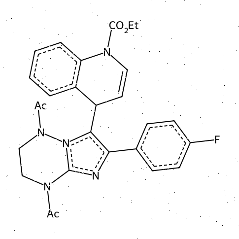 CCOC(=O)N1C=CC(c2c(-c3ccc(F)cc3)nc3n2N(C(C)=O)CCN3C(C)=O)c2ccccc21